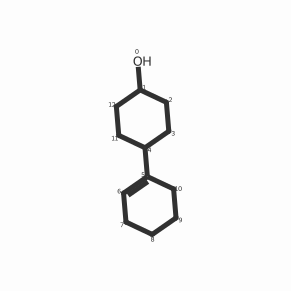 OC1CCC(C2=CCCCC2)CC1